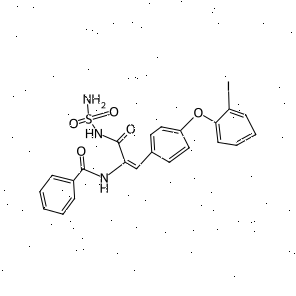 NS(=O)(=O)NC(=O)/C(=C\c1ccc(Oc2ccccc2I)cc1)NC(=O)c1ccccc1